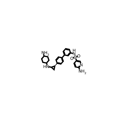 Nc1ccc(S(=O)(=O)Nc2cccc(-c3ccc([C@H]4CC4NC4CCC(N)CC4)cc3)c2)cn1